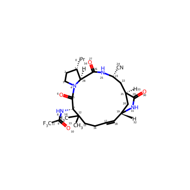 CC(C)[C@H]1CCN2C(=O)[C@@H](NC(=O)C(F)(F)F)C(C)(C)CC/C=C/[C@@H]3C[C@@H](C[C@@H](C#N)NC(=O)[C@H]12)C(=O)N3